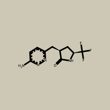 Nc1ccc(C[C@H]2C[C@@H](C(F)(F)F)NC2=O)nn1